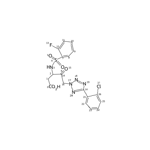 O=C(O)CC(NS(=O)(=O)c1ccccc1F)C(=O)Cn1nnc(-c2ccccc2Cl)n1